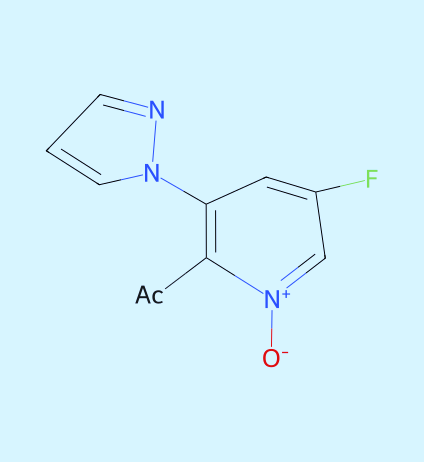 CC(=O)c1c(-n2cccn2)cc(F)c[n+]1[O-]